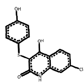 O=c1[nH]c2cc(Cl)ccc2c(O)c1Sc1ccc(O)cc1